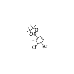 Cc1c(B2OC(C)(C)C(C)(C)O2)ccc(Br)c1Cl